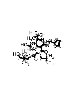 CC(C)CN(C(=O)c1cnc(C(C)(C)C)nc1NCc1ccco1)[C@@H](CNC(=O)O)C(=O)NCC(C)(C)CO